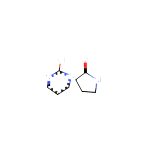 O=C1CCCN1.Oc1ncccn1